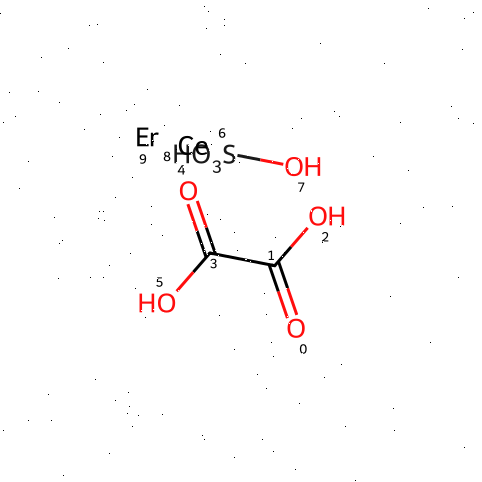 O=C(O)C(=O)O.O=S(=O)(O)O.[Ce].[Er]